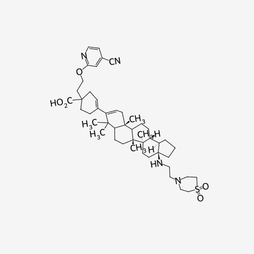 CC1(C)C(C2=CCC(CCOc3cc(C#N)ccn3)(C(=O)O)CC2)=CC[C@@]2(C)C1CC[C@]1(C)C2CC[C@@H]2[C@H]3CCC[C@]3(NCCN3CCS(=O)(=O)CC3)CC[C@]21C